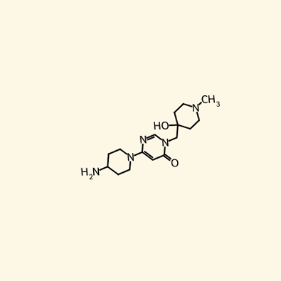 CN1CCC(O)(Cn2cnc(N3CCC(N)CC3)cc2=O)CC1